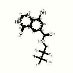 O=C(NCC(F)(F)C(F)(F)F)c1cc(O)c2nc[nH]c(=O)c2c1